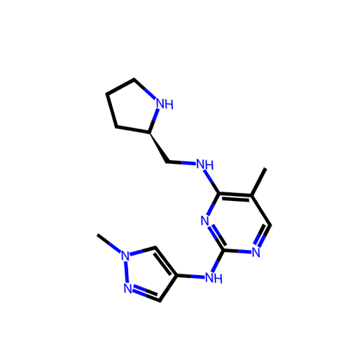 Cc1cnc(Nc2cnn(C)c2)nc1NC[C@H]1CCCN1